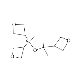 CC(C)(O[Si](C)(C1COC1)C1COC1)C1COC1